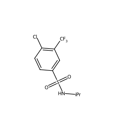 CC(C)NS(=O)(=O)c1ccc(Cl)c(C(F)(F)F)c1